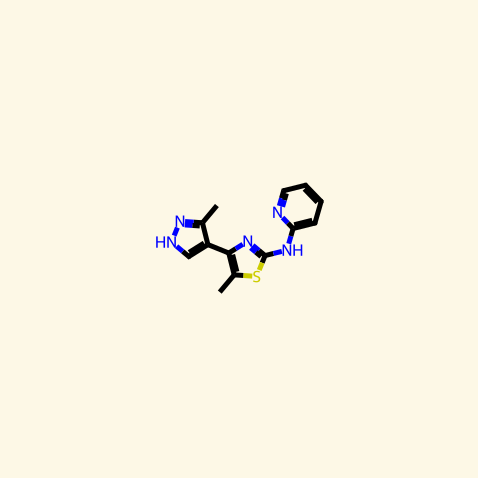 Cc1n[nH]cc1-c1nc(Nc2ccccn2)sc1C